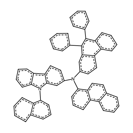 c1ccc(-c2c(-c3ccccc3)c3cc(N(c4ccc5c6ccccc6n(-c6cccc7ccccc67)c5c4)c4cccc5c4ccc4ccccc45)ccc3c3ccccc23)cc1